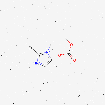 CCc1[nH]cc[n+]1C.COC(=O)[O-]